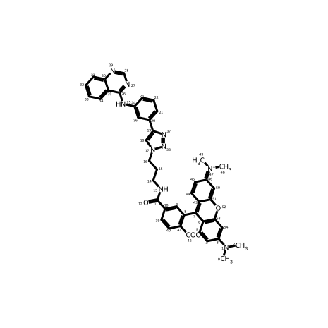 CN(C)c1ccc2c(-c3cc(C(=O)NCCCn4cc(-c5cccc(Nc6ncnc7ccccc67)c5)nn4)ccc3C(=O)[O-])c3ccc(=[N+](C)C)cc-3oc2c1